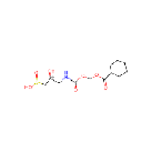 O=C(NC[C@H](O)CS(=O)O)OCOC(=O)C1CCCCC1